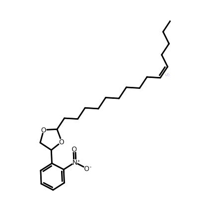 CCCC/C=C\CCCCCCCCCC1OCC(c2ccccc2[N+](=O)[O-])O1